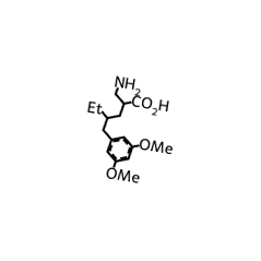 CCC(Cc1cc(OC)cc(OC)c1)CC(CN)C(=O)O